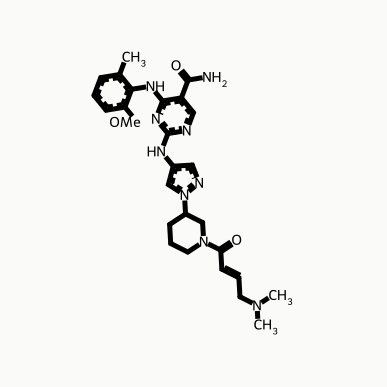 COc1cccc(C)c1Nc1nc(Nc2cnn(C3CCCN(C(=O)C=CCN(C)C)C3)c2)ncc1C(N)=O